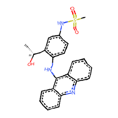 C[C@@H](O)c1cc(NS(C)(=O)=O)ccc1Nc1c2ccccc2nc2ccccc12